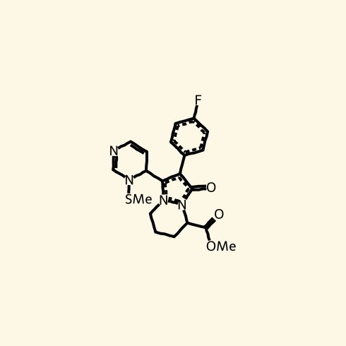 COC(=O)C1CCCn2c(C3C=CN=CN3SC)c(-c3ccc(F)cc3)c(=O)n21